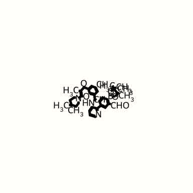 Cc1cc([C@@H](C)Nc2cccnc2-c2ccc(B3OC(C)(C)C(C)(C)O3)c(C=O)c2)c2oc(N3CCC(C)(C)CC3)c(C)c(=O)c2c1